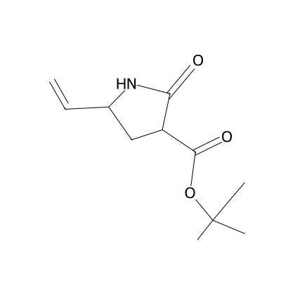 C=CC1CC(C(=O)OC(C)(C)C)C(=O)N1